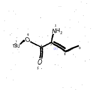 C/C=C(\N)C(=O)OC(C)(C)C